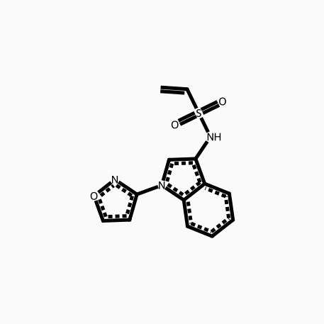 C=CS(=O)(=O)Nc1cn(-c2ccon2)c2ccccc12